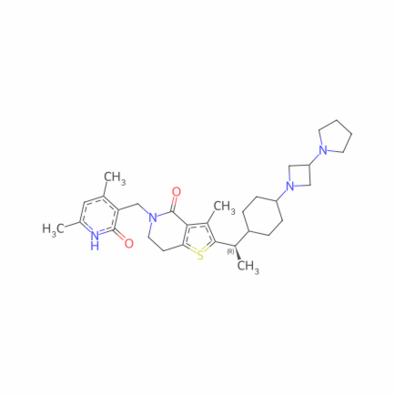 Cc1cc(C)c(CN2CCc3sc([C@H](C)C4CCC(N5CC(N6CCCC6)C5)CC4)c(C)c3C2=O)c(=O)[nH]1